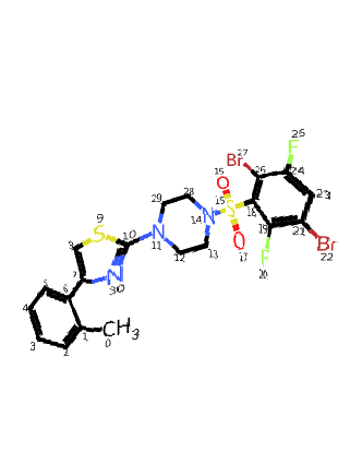 Cc1ccccc1-c1csc(N2CCN(S(=O)(=O)c3c(F)c(Br)cc(F)c3Br)CC2)n1